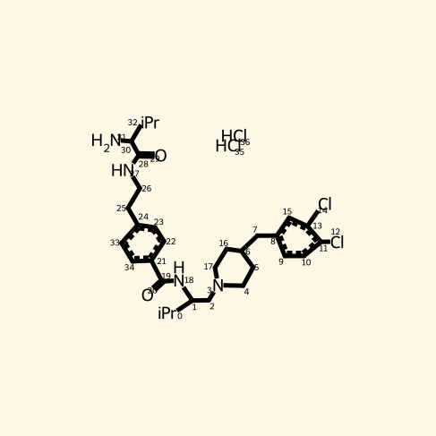 CC(C)C(CN1CCC(Cc2ccc(Cl)c(Cl)c2)CC1)NC(=O)c1ccc(CCNC(=O)C(N)C(C)C)cc1.Cl.Cl